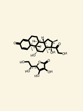 C[C@@H]1C[C@H]2[C@@H]3CCC4=CC(=O)C=C[C@]4(C)[C@@]3(F)[C@@H](O)C[C@]2(C)[C@@]1(O)C(=O)CO.O=C1O[C@H]([C@@H](O)CO)C(O)=C1O